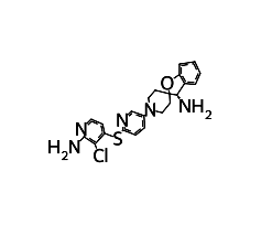 Nc1nccc(Sc2ccc(N3CCC4(CC3)Oc3ccccc3[C@H]4N)cn2)c1Cl